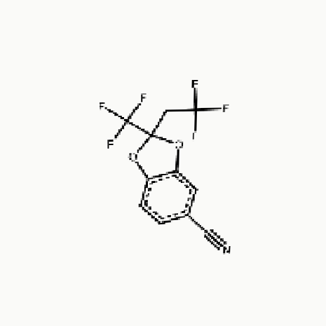 N#Cc1ccc2c(c1)OC(CC(F)(F)F)(C(F)(F)F)O2